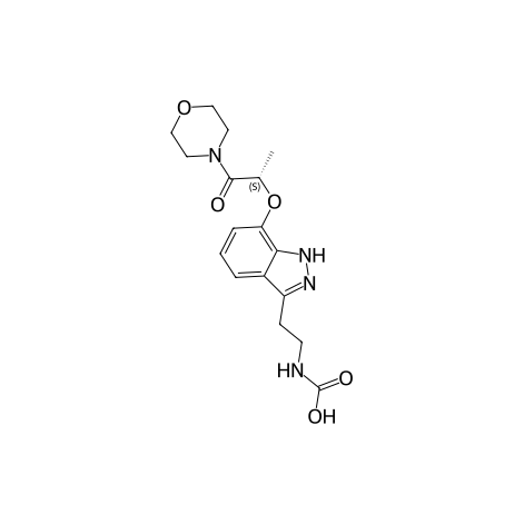 C[C@H](Oc1cccc2c(CCNC(=O)O)n[nH]c12)C(=O)N1CCOCC1